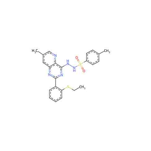 CCSc1ccccc1-c1nc(NNS(=O)(=O)c2ccc(C)cc2)c2ncc(C)cc2n1